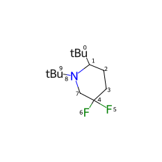 CC(C)(C)C1CCC(F)(F)CN1C(C)(C)C